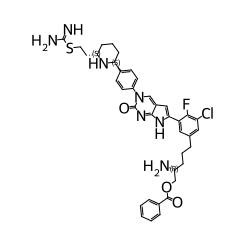 N=C(N)SCC[C@@H]1CCC[C@@H](c2ccc(-n3cc4cc(-c5cc(CCC[C@@H](N)COC(=O)c6ccccc6)cc(Cl)c5F)[nH]c4nc3=O)cc2)N1